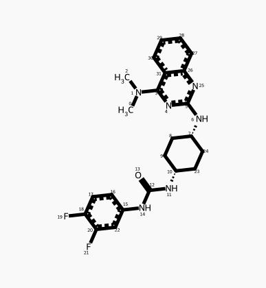 CN(C)c1nc(N[C@H]2CC[C@@H](NC(=O)Nc3ccc(F)c(F)c3)CC2)nc2ccccc12